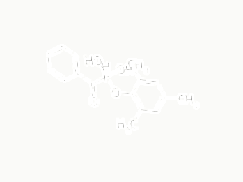 Cc1cc(C)c(O[PH](O)(O)C(=O)c2ccccc2)c(C)c1